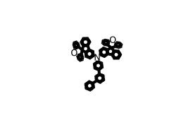 c1ccc(-c2cccc(-c3ccc(N(c4ccc5c(c4)-c4ccccc4C54c5ccccc5Oc5ccccc54)c4ccc5c(c4)-c4ccccc4C54c5ccccc5Oc5ccccc54)cc3)c2)cc1